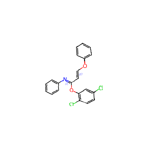 Clc1ccc(Cl)c(OC(/C=C/Oc2ccccc2)=N\c2ccccc2)c1